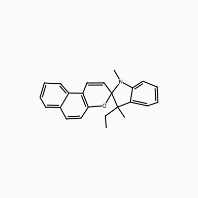 CCC1(C)c2ccccc2N(C)C12C=Cc1c(ccc3ccccc13)O2